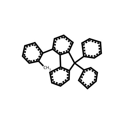 Cc1ccccc1-c1cccc2c1-c1ccccc1C2(c1ccccc1)c1ccccc1